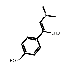 CN(C)C=C(C=O)c1ccc(C(=O)O)cc1